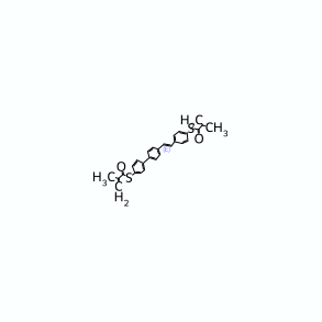 C=C(C)C(=O)Sc1ccc(/C=C/c2ccc(-c3ccc(SC(=O)C(=C)C)cc3)cc2)cc1